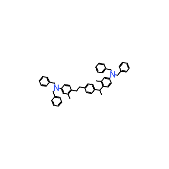 Cc1cc(N(Cc2ccccc2)Cc2ccccc2)ccc1CCc1ccc(C(C)c2ccc(N(Cc3ccccc3)Cc3ccccc3)cc2C)cc1